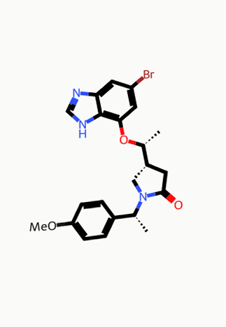 COc1ccc([C@@H](C)N2C[C@H]([C@@H](C)Oc3cc(Br)cc4nc[nH]c34)CC2=O)cc1